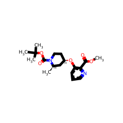 COC(=O)c1ncccc1O[C@H]1CCN(C(=O)OC(C)(C)C)[C@@H](C)C1